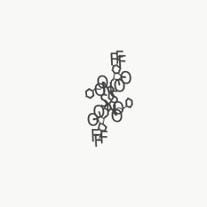 O=C1C(=O)c2cc(C(F)(F)F)ccc2/C1=C/c1cc2sc3c(sc4cc(/C=C5\C(=O)C(=O)c6cc(C(F)(F)F)ccc65)n(C(=O)OCc5ccccc5)c43)c2n1C(=O)OCc1ccccc1